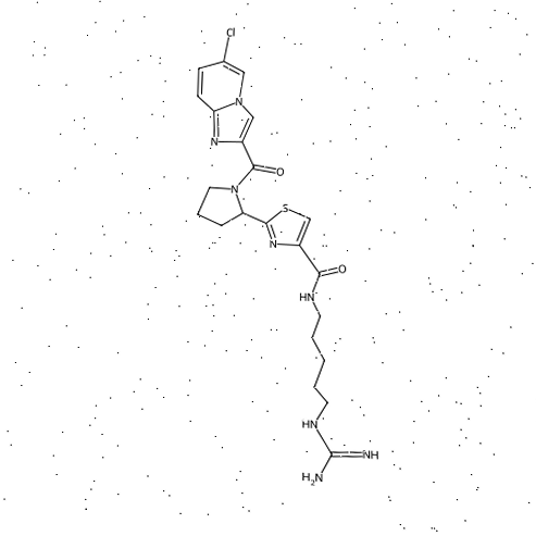 N=C(N)NCCCCCNC(=O)c1csc(C2CCCN2C(=O)c2cn3cc(Cl)ccc3n2)n1